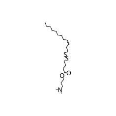 CCCCCCCC/C=C\CCSSCCCC(=O)OCCCN(C)C